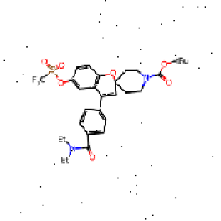 CCN(CC)C(=O)c1ccc(C2=CC3(CCN(C(=O)OC(C)(C)C)CC3)Oc3ccc(OS(=O)(=O)C(F)(F)F)cc32)cc1